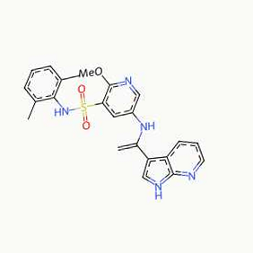 C=C(Nc1cnc(OC)c(S(=O)(=O)Nc2c(C)cccc2C)c1)c1c[nH]c2ncccc12